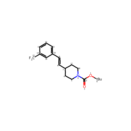 CC(C)(C)OC(=O)N1CCC(C=Cc2cccc(C(F)(F)F)c2)CC1